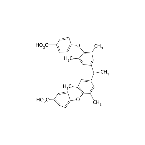 Cc1cc(C(C)c2cc(C)c(Oc3ccc(C(=O)O)cc3)c(C)c2)cc(C)c1Oc1ccc(C(=O)O)cc1